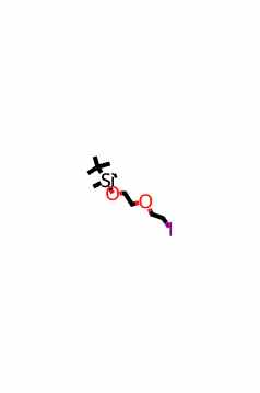 CC(C)(C)[Si](C)(C)OCCOCCI